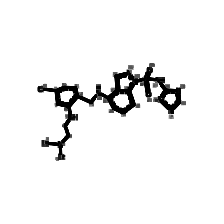 CCN(CC)CCNc1cc(Cl)ccc1CNc1cccc2c1cnn2S(=O)(=O)Nc1ncns1